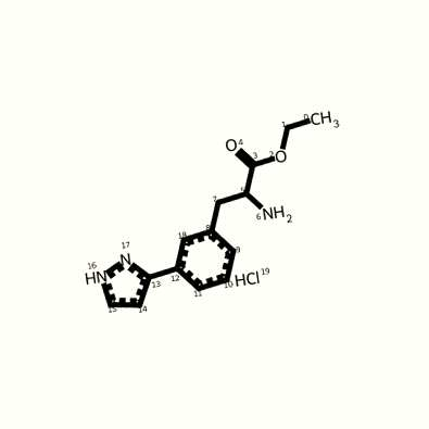 CCOC(=O)C(N)Cc1cccc(-c2cc[nH]n2)c1.Cl